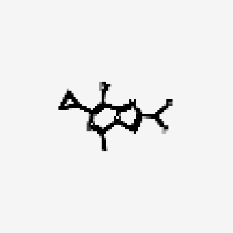 Cc1nc(C2CC2)c(Br)c2nc(C(F)F)cn12